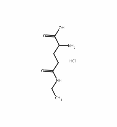 CCNC(=O)CCC(N)C(=O)O.Cl